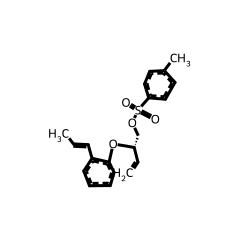 C=C[C@@H](COS(=O)(=O)c1ccc(C)cc1)Oc1ccccc1C=CC